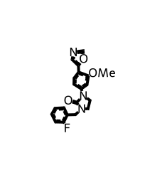 COc1cc(N2CCN(Cc3ccccc3F)C2=O)ccc1-c1cnco1